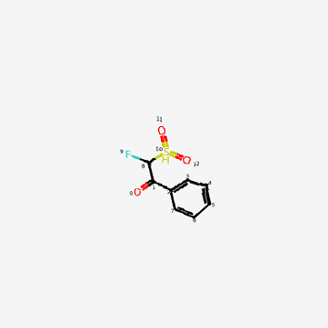 O=C(c1ccccc1)C(F)[SH](=O)=O